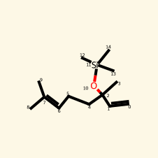 C=CC(C)(CCC=C(C)C)O[Si](C)(C)C